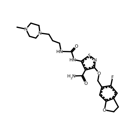 CN1CCN(CCCNC(=O)Nc2snc(OCc3cc4c(cc3F)CCO4)c2C(N)=O)CC1